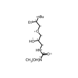 CCCCC(CC)COCC(O)CNC(=O)N(C)O